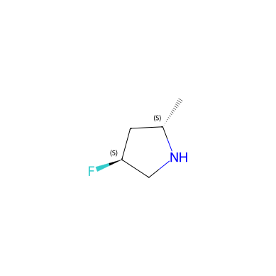 C[C@H]1C[C@H](F)CN1